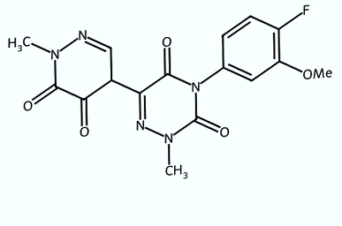 COc1cc(-n2c(=O)c(C3C=NN(C)C(=O)C3=O)nn(C)c2=O)ccc1F